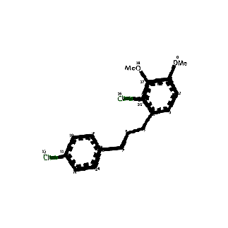 COc1ccc(C[CH]Cc2ccc(Cl)cc2)c(Cl)c1OC